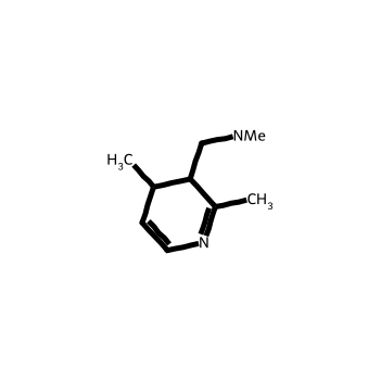 CNCC1C(C)=NC=CC1C